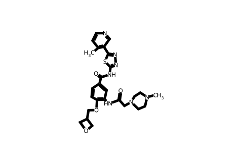 Cc1ccncc1-c1nnc(NC(=O)c2ccc(OCC3COC3)c(NC(=O)CN3CCN(C)CC3)c2)s1